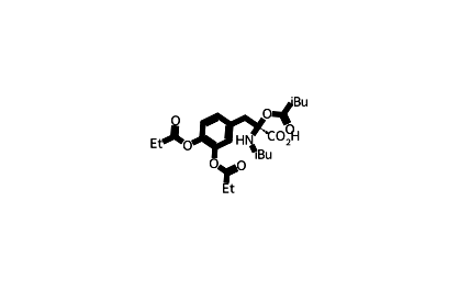 CCC(=O)Oc1ccc(C[C@](NC(C)CC)(OC(=O)C(C)CC)C(=O)O)cc1OC(=O)CC